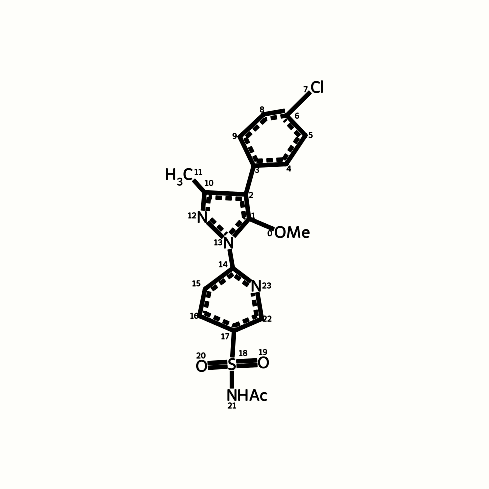 COc1c(-c2ccc(Cl)cc2)c(C)nn1-c1ccc(S(=O)(=O)NC(C)=O)cn1